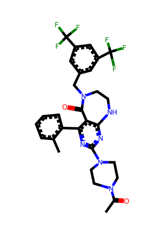 CC(=O)N1CCN(c2nc3c(c(-c4ccccc4C)n2)C(=O)N(Cc2cc(C(F)(F)F)cc(C(F)(F)F)c2)CCN3)CC1